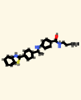 CC(C)[C@H](Nc1ccc(C(=O)NCCC(=O)O)cc1)c1ccc(-c2nc3ccccc3s2)cc1